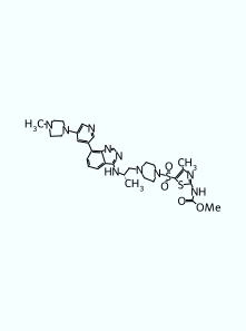 COC(=O)Nc1nc(C)c(S(=O)(=O)N2CCN(C[C@H](C)Nc3ncnc4c(-c5cncc(N6CCN(C)CC6)c5)cccc34)CC2)s1